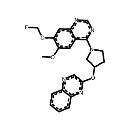 COc1cc2c(N3CCC(Oc4cnc5ccccc5n4)C3)ncnc2cc1OCF